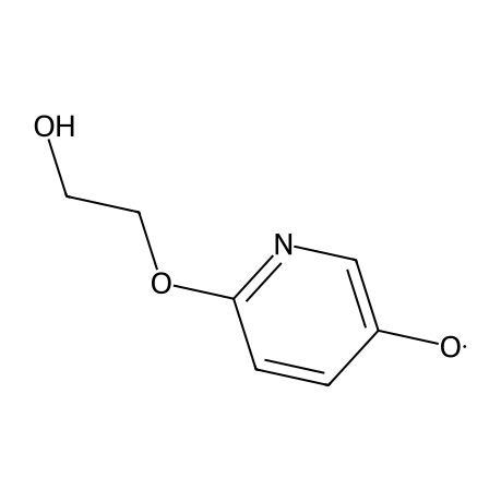 [O]c1ccc(OCCO)nc1